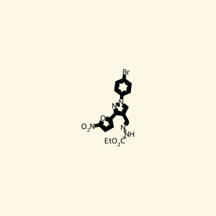 CCOC(=O)NN=Cc1cn(-c2ccc(Br)cc2)nc1-c1ccc([N+](=O)[O-])o1